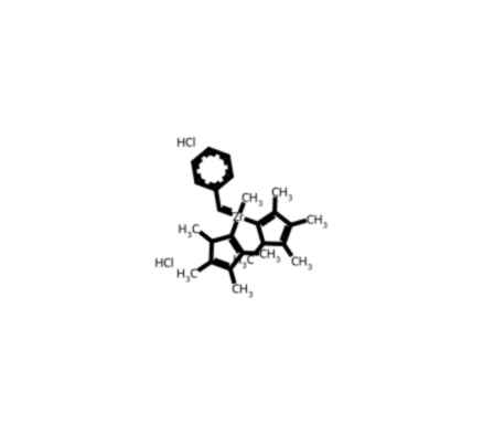 CC1=C(C)C(C)[C]([Zr]([CH3])(=[CH]c2ccccc2)[C]2=C(C)C(C)=C(C)C2C)=C1C.Cl.Cl